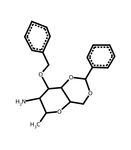 CC1OC2COC(c3ccccc3)OC2C(OCc2ccccc2)C1N